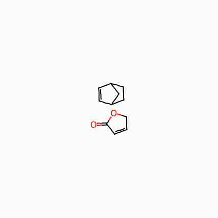 C1=CC2CCC1C2.O=C1C=CCO1